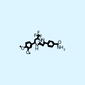 COc1ccc(C2CC(C(F)(F)F)n3nc(-c4ccc(C(N)=O)cc4)cc3N2)cc1OC